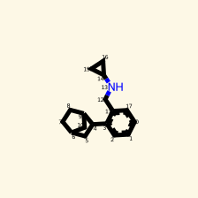 c1ccc(C2CC3CCC2C3)c(CNC2CC2)c1